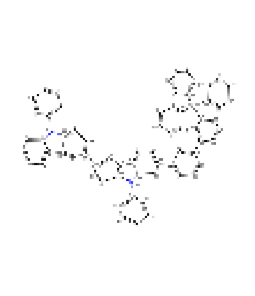 c1ccc(-n2c3ccccc3c3cc(-c4ccc5c(c4)c4ccc(-c6cccc(-c7cccc([Si](c8ccccc8)(c8ccccc8)c8ccccc8)c7)c6)cc4n5-c4ccccc4)ccc32)cc1